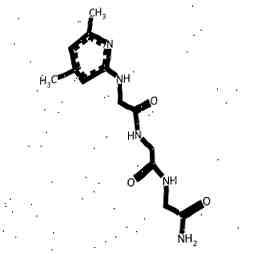 Cc1cc(C)nc(NCC(=O)NCC(=O)NCC(N)=O)c1